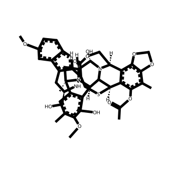 COc1ccc2[nH]c3c(c2c1)C[C@H](CO)N[C@]31CS[C@@H]2c3c(OC(C)=O)c(C)c4c(c3[C@H](COC1=O)N1C2[C@H]2c3c(cc(C)c(OC)c3O)[C@@]3(C)C[C@H]([C@@H]1O)N23)OCO4